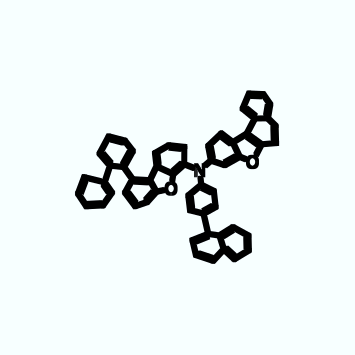 c1ccc(-c2ccccc2-c2cccc3oc4c(N(c5ccc(-c6cccc7ccccc67)cc5)c5ccc6c(c5)oc5ccc7ccccc7c56)cccc4c23)cc1